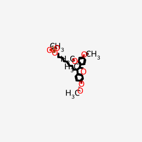 COCOc1ccc2c(c1)OCC(C)(c1ccc(OC)cc1OC)C2CCCCCCCCOS(C)(=O)=O